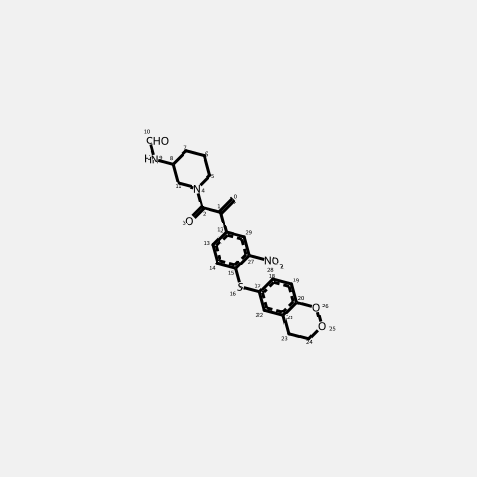 C=C(C(=O)N1CCCC(NC=O)C1)c1ccc(Sc2ccc3c(c2)CCOO3)c([N+](=O)[O-])c1